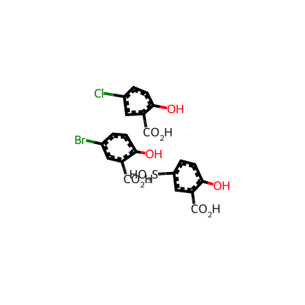 O=C(O)c1cc(Br)ccc1O.O=C(O)c1cc(Cl)ccc1O.O=C(O)c1cc(S(=O)(=O)O)ccc1O